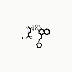 COc1cc(CCN2CCCC2)c2ccccc2c1.O=C(O)/C=C/C(=O)O